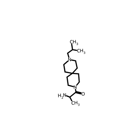 CC(C)CN1CCC2(CC1)CCN(C(=O)C(C)N)CC2